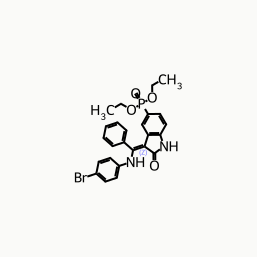 CCOP(=O)(OCC)c1ccc2c(c1)/C(=C(/Nc1ccc(Br)cc1)c1ccccc1)C(=O)N2